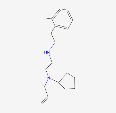 C=CCN(CCNCCc1ccccc1C)C1CCCC1